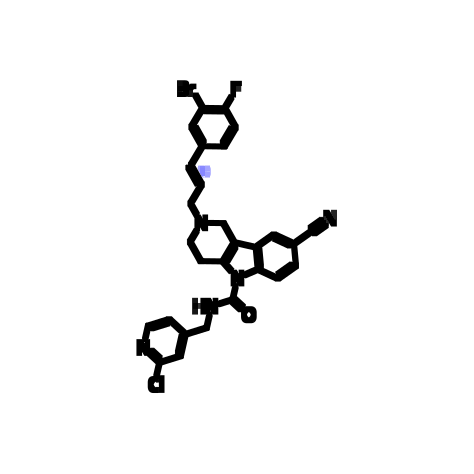 N#Cc1ccc2c(c1)c1c(n2C(=O)NCc2ccnc(Cl)c2)CCN(C/C=C/c2ccc(F)c(Br)c2)C1